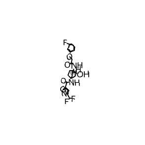 O=C(COc1cccc(F)c1)NC12CCC(NC(=O)c3cc(C(F)F)no3)(CC1)C[C@@H]2O